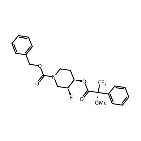 CO[C@@](C(=O)O[C@@H]1CCN(C(=O)OCc2ccccc2)C[C@@H]1F)(c1ccccc1)C(F)(F)F